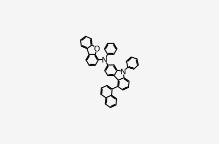 c1ccc(N(c2ccc3c4c(-c5cccc6ccccc56)cccc4n(-c4ccccc4)c3c2)c2cccc3c2oc2ccccc23)cc1